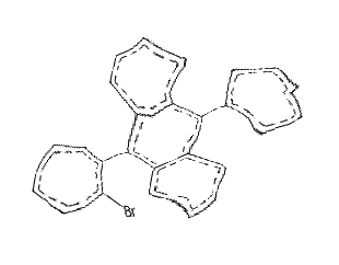 Brc1ccccc1-c1c2ccccc2c(-c2ccccc2)c2ccccc12